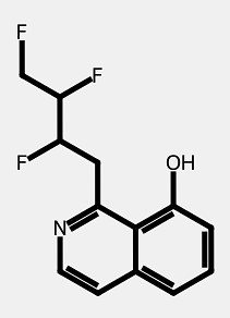 Oc1cccc2ccnc(CC(F)C(F)CF)c12